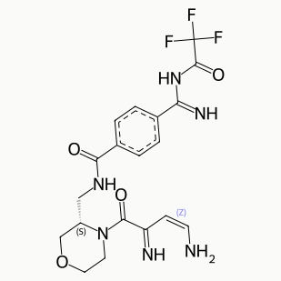 N=C(/C=C\N)C(=O)N1CCOC[C@@H]1CNC(=O)c1ccc(C(=N)NC(=O)C(F)(F)F)cc1